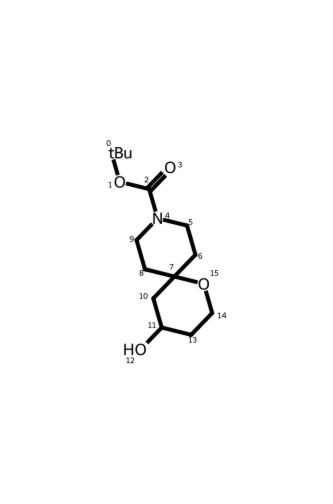 CC(C)(C)OC(=O)N1CCC2(CC1)CC(O)CCO2